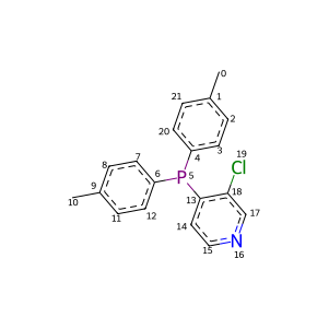 Cc1ccc(P(c2ccc(C)cc2)c2ccncc2Cl)cc1